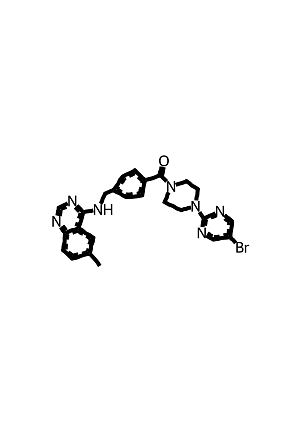 Cc1ccc2ncnc(NCc3ccc(C(=O)N4CCN(c5ncc(Br)cn5)CC4)cc3)c2c1